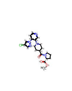 COC(=O)[C@H]1CCCN1C(=O)C1CCN(c2cnccc2-n2cc(Cl)cn2)CC1